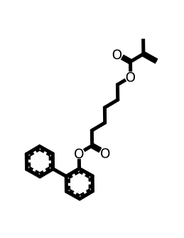 C=C(C)C(=O)OCCCCCC(=O)Oc1ccccc1-c1ccccc1